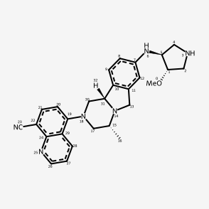 CO[C@H]1CNC[C@@H]1Nc1ccc2c(c1)CN1[C@H](C)CN(c3ccc(C#N)c4ncccc34)C[C@H]21